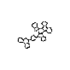 c1ccc2c(c1)cc(-c1ccc(-n3c4ccccc4c4c5c6ccccc6c6ccccc6c5c5c6ccccc6oc5c43)cc1)c1ccccc12